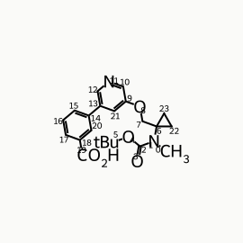 CN(C(=O)OC(C)(C)C)C1(COc2cncc(-c3cccc(C(=O)O)c3)c2)CC1